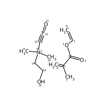 C=COC(=O)C(=C)C.C[N+](C)(C#P=O)CCO